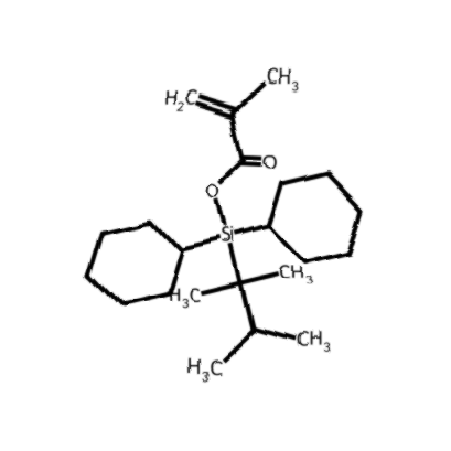 C=C(C)C(=O)O[Si](C1CCCCC1)(C1CCCCC1)C(C)(C)C(C)C